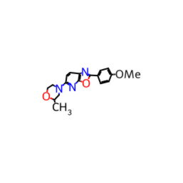 COc1ccc(-c2nc3ccc(N4CCOC(C)C4)nc3o2)cc1